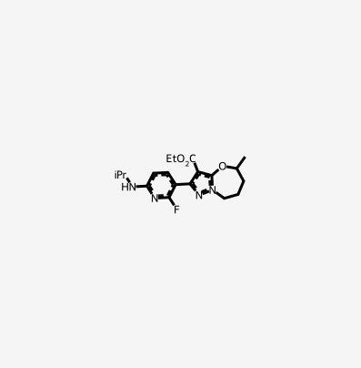 CCOC(=O)c1c(-c2ccc(NC(C)C)nc2F)nn2c1OC(C)CCC2